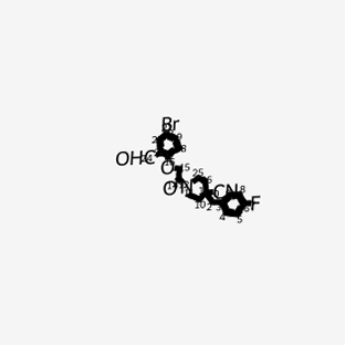 N#CC1(Cc2ccc(F)cc2)CCN(C(=O)COc2ccc(Br)cc2C=O)CC1